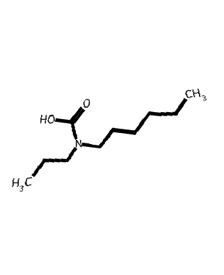 CCCCCCN(CCC)C(=O)O